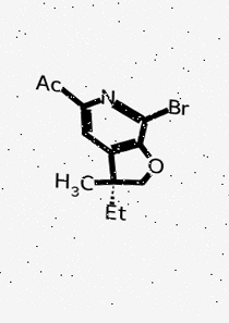 CC[C@@]1(C)COc2c1cc(C(C)=O)nc2Br